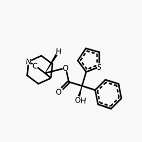 O=C(O[C@H]1CN2CCC1CC2)[C@@](O)(c1ccccc1)c1cccs1